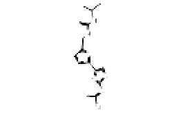 CC(C)NC(=O)NCc1ccc(-c2csc(N=C(N)N)n2)o1